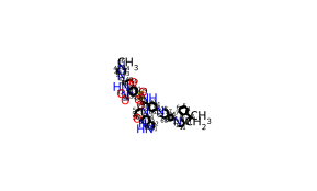 C=C(C)c1ccccc1[C@@H]1CCCN1C1CC2(CCN(c3ccc(C(=O)NS(=O)(=O)c4cc5c(c([N+](=O)[O-])c4)N[C@H](CN4CCN(C)CC4)CO5)c(N4CCCOc5nc6[nH]ccc6cc54)c3)CC2)C1